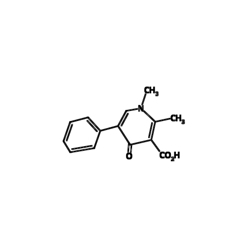 Cc1c(C(=O)O)c(=O)c(-c2ccccc2)cn1C